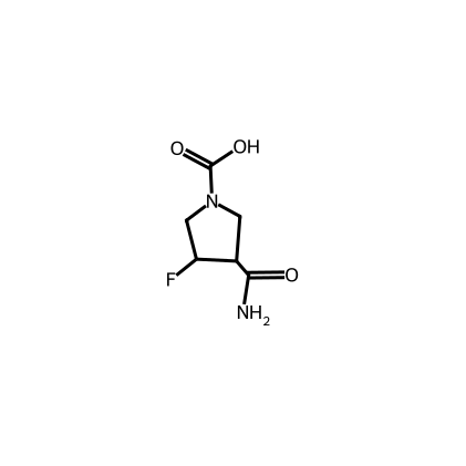 NC(=O)C1CN(C(=O)O)CC1F